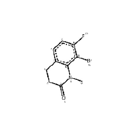 CN1C(=O)CCc2ccc(F)c(Br)c21